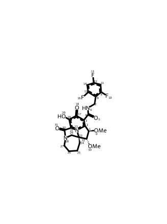 CO[C@@H]1c2c(C(=O)NCc3c(F)cc(F)cc3F)c(=O)c(O)c3n2[C@]2(CCCCN(C2)C3=O)[C@H]1OC